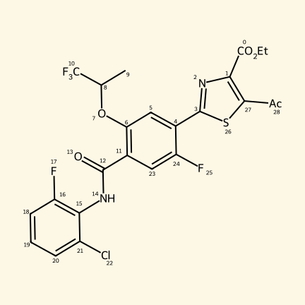 CCOC(=O)c1nc(-c2cc(OC(C)C(F)(F)F)c(C(=O)Nc3c(F)cccc3Cl)cc2F)sc1C(C)=O